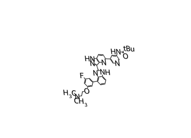 CN(C)CCOc1cc(F)cc(-c2cccc3[nH]c(-c4n[nH]c5ccc(-c6cncc(NC(=O)C(C)(C)C)c6)nc45)nc23)c1